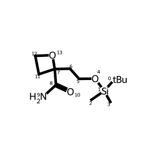 CC(C)(C)[Si](C)(C)OCCC1(C(N)=O)[CH]CO1